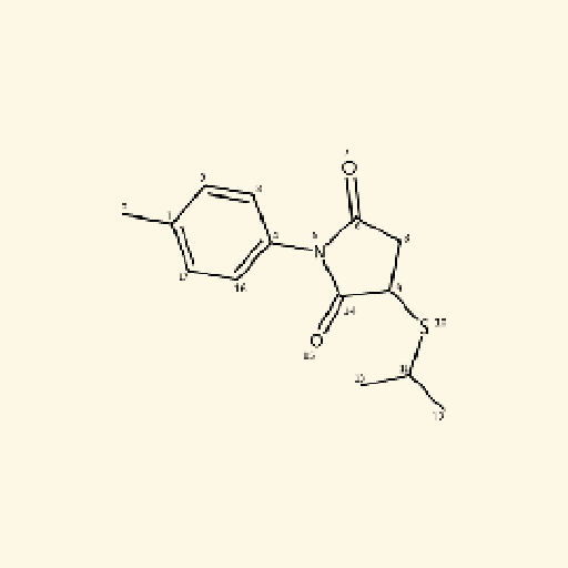 Cc1ccc(N2C(=O)CC(SC(C)C)C2=O)cc1